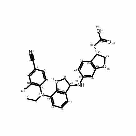 CCN(c1ccc(C#N)cc1F)c1cccc2c1OC[C@H]2Nc1ccc2c(c1)OC[C@H]2CC(=O)O